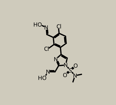 CN(C)S(=O)(=O)n1cc(-c2ccc(Cl)c(C=NO)c2Cl)nc1C=NO